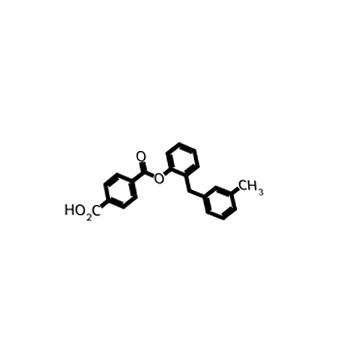 Cc1cccc(Cc2ccccc2OC(=O)c2ccc(C(=O)O)cc2)c1